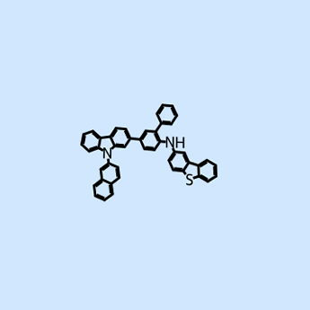 c1ccc(-c2cc(-c3ccc4c5ccccc5n(-c5ccc6ccccc6c5)c4c3)ccc2Nc2ccc3sc4ccccc4c3c2)cc1